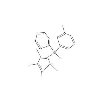 CC1=C(C)C(C)C([Si](C)(c2ccccc2)c2cccc(C)c2)=C1C